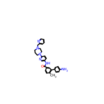 Cc1ccc(C(=O)Nc2ccc(N3CCCN(Cc4ccccn4)CC3)nc2)cc1-c1ccc(N)cc1